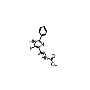 COC(=O)NN=C(C)c1nc(-c2ccccc2)[nH]c1I